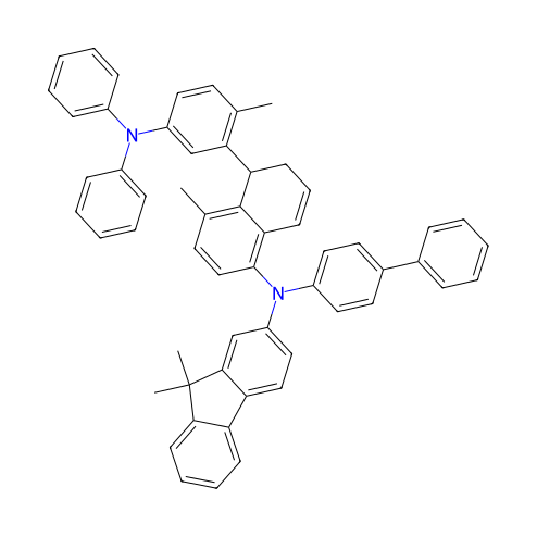 Cc1ccc(N(c2ccccc2)c2ccccc2)cc1C1CC=Cc2c(N(c3ccc(-c4ccccc4)cc3)c3ccc4c(c3)C(C)(C)c3ccccc3-4)ccc(C)c21